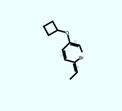 C\C=C(Br)/C=C\C(=C/C)OC1CCC1